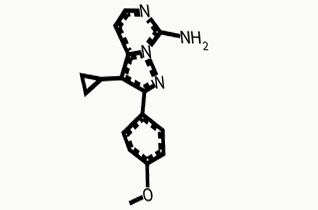 COc1ccc(-c2nn3c(N)nccc3c2C2CC2)cc1